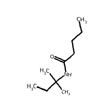 CCCCC(=O)NC(C)(C)CC